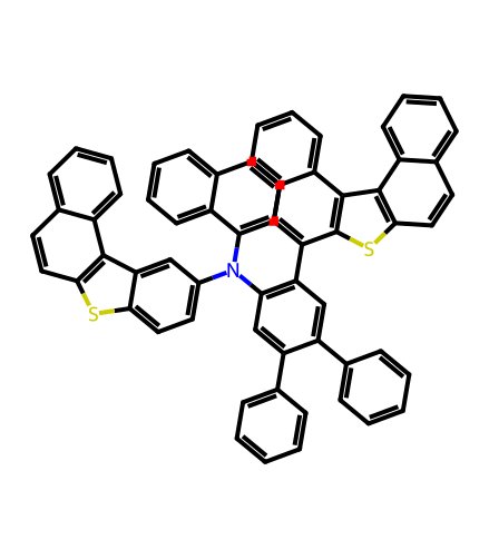 c1ccc(-c2cc(-c3cc4ccccc4c4c3sc3ccc5ccccc5c34)c(N(c3ccc4sc5ccc6ccccc6c5c4c3)c3cccc4ccccc34)cc2-c2ccccc2)cc1